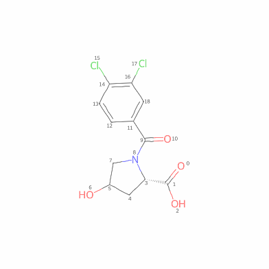 O=C(O)[C@@H]1CC(O)CN1C(=O)c1ccc(Cl)c(Cl)c1